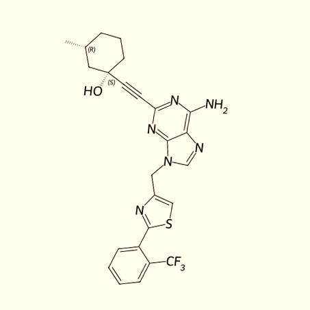 C[C@@H]1CCC[C@@](O)(C#Cc2nc(N)c3ncn(Cc4csc(-c5ccccc5C(F)(F)F)n4)c3n2)C1